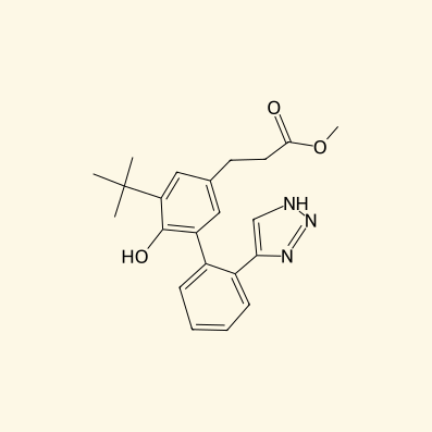 COC(=O)CCc1cc(-c2ccccc2-c2c[nH]nn2)c(O)c(C(C)(C)C)c1